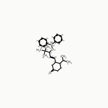 CC(C)C1CCC(=O)CC1/C=C/C(O[SiH](c1ccccc1)c1ccccc1)C(C)(C)C